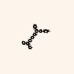 c1ccc(-c2ccc(-c3cc(-c4ccccn4)nc(-c4ccc(-c5ccc(-c6ccc(-c7cc(-c8ccccc8)nc(-c8ccccc8)n7)cc6)cc5)cn4)c3)cc2)cc1